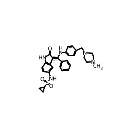 CN1CCN(Cc2ccc(N/C(=C3\C(=O)Nc4ccc(NS(=O)(=O)C5CC5)cc43)c3ccccc3)cc2)CC1